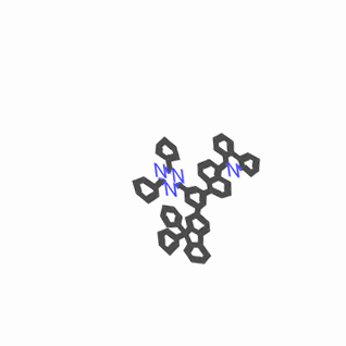 c1ccc(-c2nc(-c3ccccc3)nc(-c3cc(-c4ccc5c(c4)C(c4ccccc4)(c4ccccc4)c4ccccc4-5)cc(-c4cccc5c(-c6nc7ccccc7c7ccccc67)cccc45)c3)n2)cc1